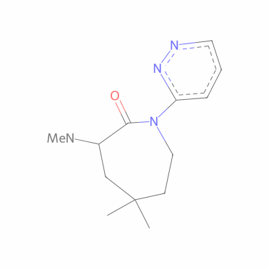 CNC1CC(C)(C)CCN(c2cccnn2)C1=O